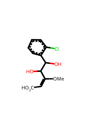 CO/C(=C/C(=O)O)C(O)C(O)c1ccccc1Cl